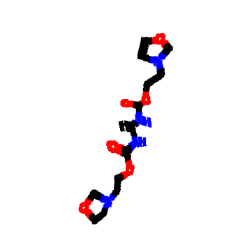 O=C(NBNC(=O)OCCN1CCOC1)OCCN1CCOC1